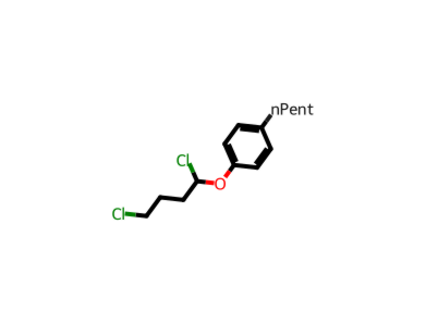 CCCCCc1ccc(OC(Cl)CCCCl)cc1